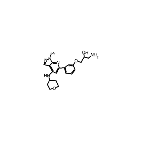 CC(C)n1ncc2c(NC3CCOCC3)cc(-c3cccc(OCC(O)CN)c3)nc21